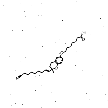 CC1(C=CCCCCCCC#N)CCc2cc(OCCCCCCC(=O)O)ccc2O1